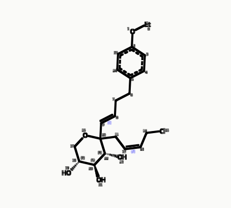 CCOc1ccc(CC/C=C/C2(C/C=C\CCl)OC[C@@H](O)[C@H](O)[C@H]2O)cc1